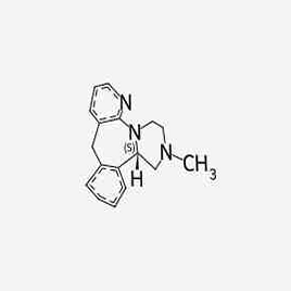 CN1CCN2c3ncccc3Cc3ccccc3[C@H]2C1